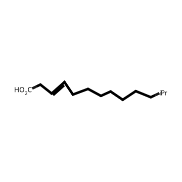 CC(C)CCCCCCCC=CCC(=O)O